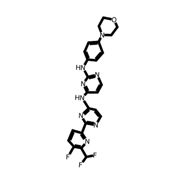 Fc1ccc(-c2nccc(Nc3ccnc(Nc4ccc(N5CCOCC5)cc4)n3)n2)nc1C(F)F